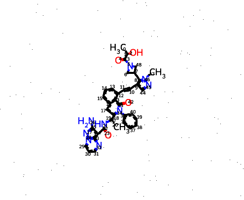 CC(O)C(=O)N1CC(c2c(C#Cc3cccc4cc([C@@H](C)NC(=O)c5c(N)nn6cccnc56)n(-c5ccccc5)c(=O)c34)cnn2C)C1